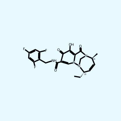 CC[C@H]1C=C[C@H](C)N2CN1n1cc(C(=O)NCc3c(F)cc(F)cc3F)c(=O)c(O)c1C2=O